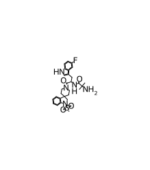 CC(C)(N)C(=O)NC(Cc1c[nH]c2ccc(F)cc12)C(=O)N1CCC2(CC1)CN(S(C)(=O)=O)c1ccccc12